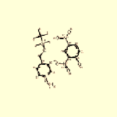 CC(C)(C)[Si](C)(C)OCc1cc[n+](N)cc1.O=[N+]([O-])c1ccc([O-])c([N+](=O)[O-])c1